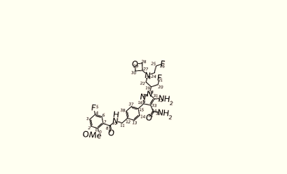 COc1ccc(F)cc1C(=O)NCc1ccc(-c2nn(C(CF)CN(CCF)C3COC3)c(N)c2C(N)=O)cc1